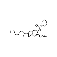 COc1cc2nn(C3CCC(CO)CC3)cc2cc1NC(=O)[C@H]1CCCCO1